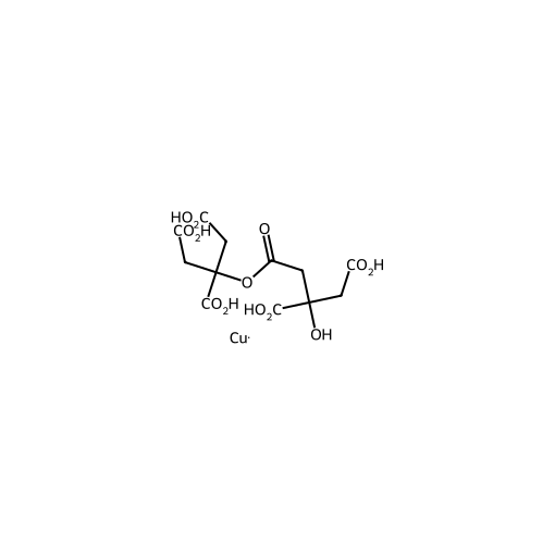 O=C(O)CC(O)(CC(=O)OC(CC(=O)O)(CC(=O)O)C(=O)O)C(=O)O.[Cu]